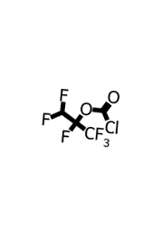 O=C(Cl)OC(F)(C(F)F)C(F)(F)F